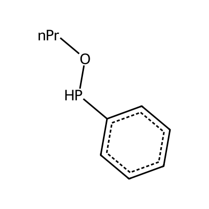 CCCOPc1ccccc1